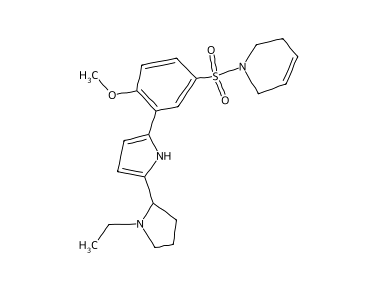 CCN1CCCC1c1ccc(-c2cc(S(=O)(=O)N3CC=CCC3)ccc2OC)[nH]1